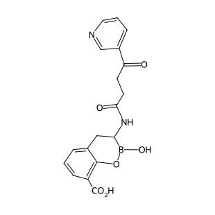 O=C(CCC(=O)c1cccnc1)NC1Cc2cccc(C(=O)O)c2OB1O